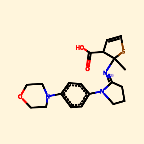 CC1(/N=C2\CCCN2c2ccc(N3CCOCC3)cc2)SC=CC1C(=O)O